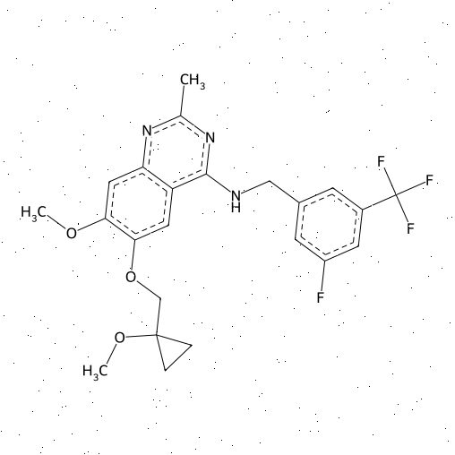 COc1cc2nc(C)nc(NCc3cc(F)cc(C(F)(F)F)c3)c2cc1OCC1(OC)CC1